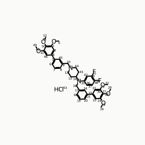 COc1cc(-c2cccc(CN3CCC(N(Cc4cccc(-c5cc(OC)c(OC)c(OC)c5)c4)c4ccc(F)c(F)c4)CC3)c2)cc(OC)c1OC.Cl